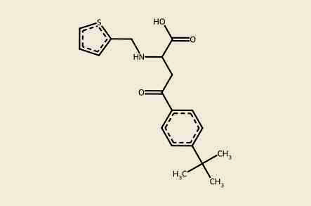 CC(C)(C)c1ccc(C(=O)CC(NCc2cccs2)C(=O)O)cc1